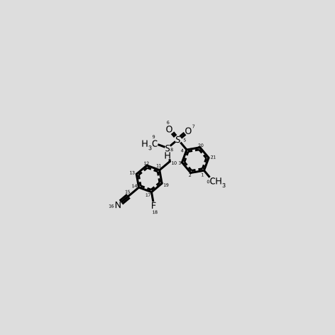 Cc1ccc(S(=O)(=O)[SH](C)Cc2ccc(C#N)c(F)c2)cc1